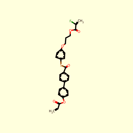 C=CC(=O)Oc1ccc(-c2ccc(C(=O)Sc3ccc(OCCCOC(=O)C(=C)F)cc3)cc2)cc1